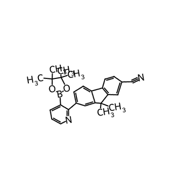 CC1(C)c2cc(C#N)ccc2-c2ccc(-c3ncccc3B3OC(C)(C)C(C)(C)O3)cc21